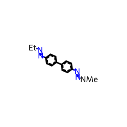 CC/N=N/c1ccc(-c2ccc(N=NNC)cc2)cc1